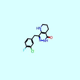 O=c1[nH]nc(Cc2ccc(F)c(Cl)c2)c2c1CCCN2